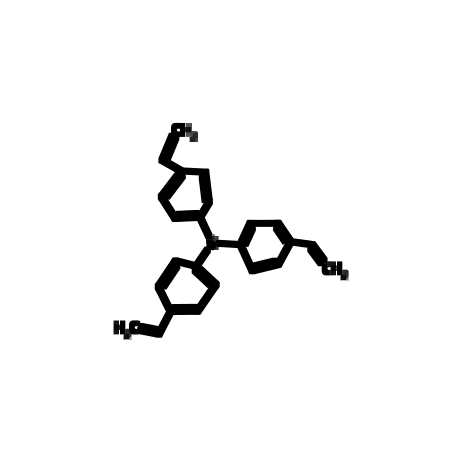 C=Cc1ccc([Si](c2ccc(C=C)cc2)c2ccc(C=C)cc2)cc1